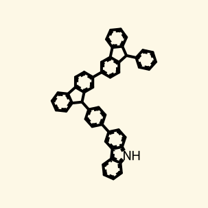 c1ccc(C2c3ccccc3-c3cc(-c4ccc5c(c4)C(c4ccc(-c6ccc7[nH]c8ccccc8c7c6)cc4)c4ccccc4-5)ccc32)cc1